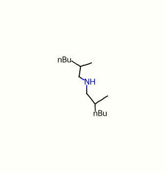 CCCCC(C)CNCC(C)CCCC